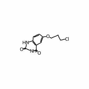 O=c1[nH]c(=O)c2cc(OCCCCl)ccc2[nH]1